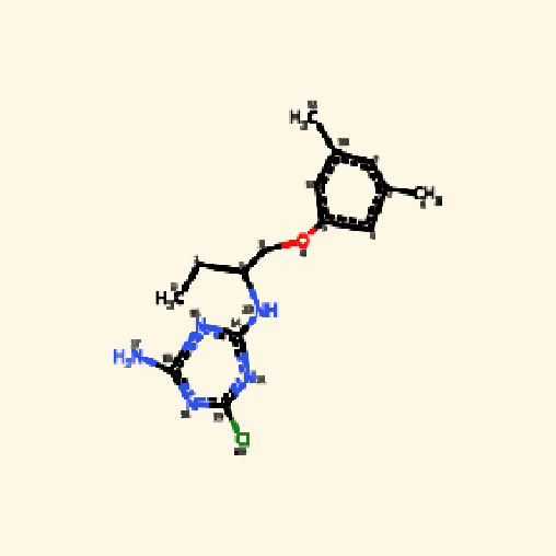 CCC(COc1cc(C)cc(C)c1)Nc1nc(N)nc(Cl)n1